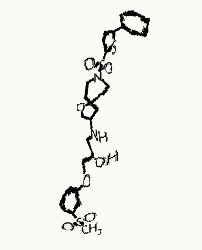 CS(=O)(=O)c1cccc(OC[C@@H](O)CNC2COC3(CCN(S(=O)(=O)c4ccc(-c5ccccc5)s4)CC3)C2)c1